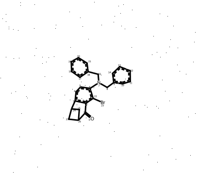 O=C1c2c(ccc(N(Cc3ccccc3)Cc3ccccc3)c2Br)C2CC1C2